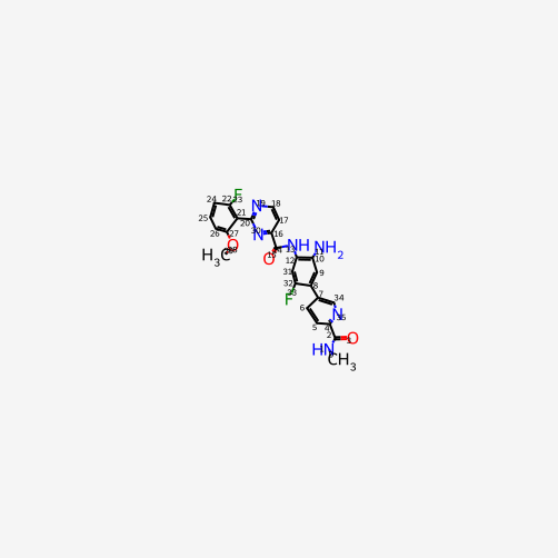 CNC(=O)c1ccc(-c2cc(N)c(NC(=O)c3ccnc(-c4c(F)cccc4OC)n3)cc2F)cn1